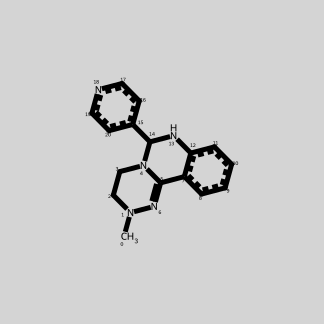 CN1CCN2C(=N1)c1ccccc1NC2c1ccncc1